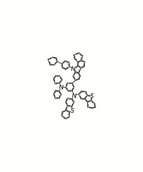 c1ccc(-c2ccc(-n3c4cc(-c5cc(N(c6ccccc6)c6ccccc6)cc(N(c6ccc7c(c6)sc6ccccc67)c6ccc7sc8ccccc8c7c6)c5)ccc4c4ccc5ccccc5c43)cc2)cc1